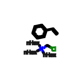 C=Cc1ccccc1.CCCCCC[N+](CCl)(CCCCCC)CCCCCC